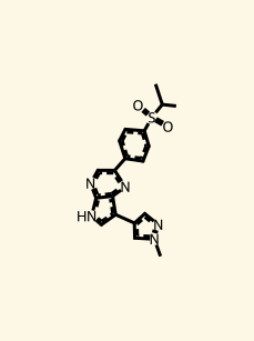 CC(C)S(=O)(=O)c1ccc(-c2cnc3[nH]cc(-c4cnn(C)c4)c3n2)cc1